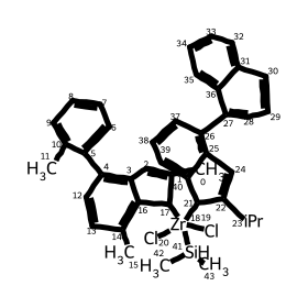 CC1=Cc2c(-c3ccccc3C)ccc(C)c2[CH]1[Zr]([Cl])([Cl])([CH]1C(C(C)C)=Cc2c(-c3cccc4ccccc34)cccc21)[SiH](C)C